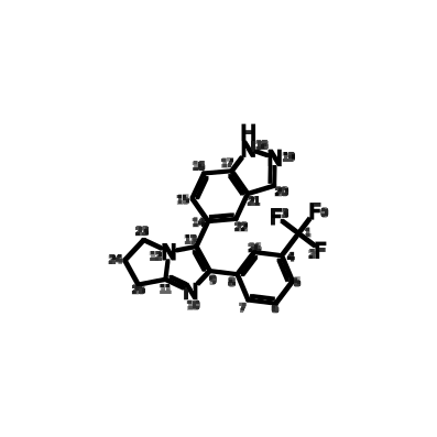 FC(F)(F)c1cccc(-c2nc3n(c2-c2ccc4[nH]ncc4c2)CCC3)c1